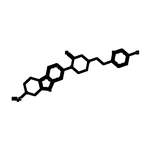 O=C(O)N1CCc2c(sc3cc(N4CCN(CCc5ccc(Cl)cn5)CC4=O)ccc23)C1